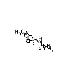 CNC(=S)NCCSCc1nc(C)cn1C